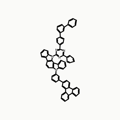 c1ccc(-c2cccc(-c3ccc(-c4nc(-c5ccccc5)nc(-n5c6ccccc6c6ccc7c(c8ccccc8n7-c7cccc(-c8ccc9c%10ccccc%10c%10ccccc%10c9c8)c7)c65)n4)cc3)c2)cc1